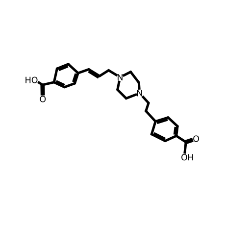 O=C(O)c1ccc(C=CCN2CCN(CCc3ccc(C(=O)O)cc3)CC2)cc1